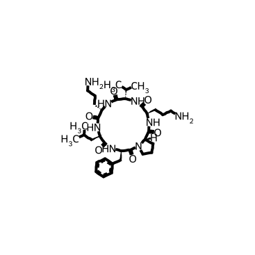 CC(C)C[C@H]1NC(=O)[C@H](CCCN)NC(=O)[C@H](C(C)C)NC(=O)[C@@H](CCCN)NC(=O)[C@@H]2CCCN2C(=O)[C@@H](Cc2ccccc2)NC1=O